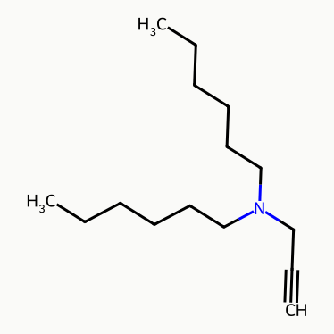 C#CCN(CCCCCC)CCCCCC